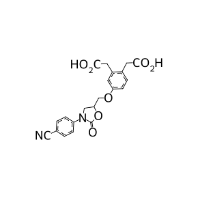 N#Cc1ccc(N2CC(COc3ccc(CC(=O)O)c(CC(=O)O)c3)OC2=O)cc1